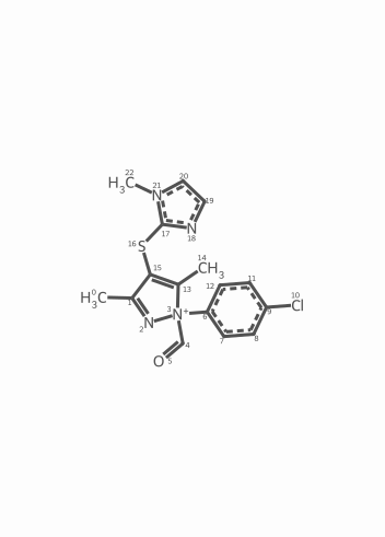 CC1=N[N+](C=O)(c2ccc(Cl)cc2)C(C)=C1Sc1nccn1C